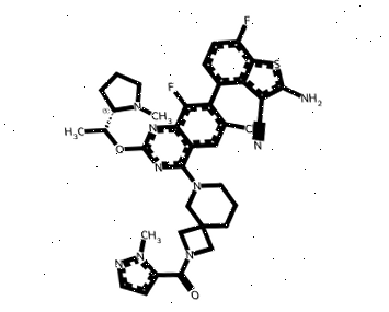 CC(Oc1nc(N2CCCC3(CN(C(=O)c4ccnn4C)C3)C2)c2cc(Cl)c(-c3ccc(F)c4sc(N)c(C#N)c34)c(F)c2n1)[C@@H]1CCCN1C